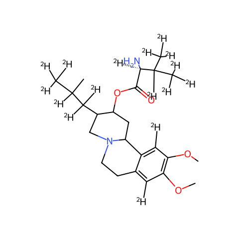 [2H]c1c2c(c([2H])c(OC)c1OC)C1CC(OC(=O)[C@@]([2H])(N)C([2H])(C([2H])([2H])[2H])C([2H])([2H])[2H])C(C([2H])([2H])C([2H])(C)C([2H])([2H])[2H])CN1CC2